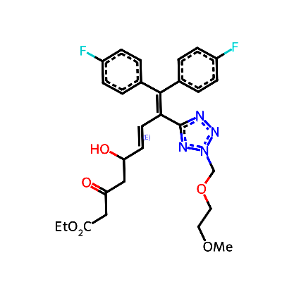 CCOC(=O)CC(=O)CC(O)/C=C/C(=C(c1ccc(F)cc1)c1ccc(F)cc1)c1nnn(COCCOC)n1